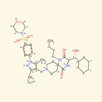 CCCCN1C(=O)[C@@H]([C@H](O)C2CCCCC2)NC(=O)C12CCN(Cc1c(C)nn(-c3ccc(S(=O)(=O)N4CCOCC4)cc3)c1C)CC2.Cl